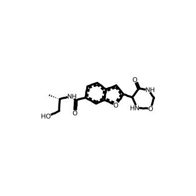 C[C@@H](CO)NC(=O)c1ccc2cc(C3NOCNC3=O)oc2c1